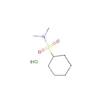 CN(C)S(=O)(=O)C1CCCCC1.Cl